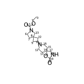 CCOC(=O)N1CCC2(CC(N3CCC4(CC3)CNC(=O)O4)C2)C1